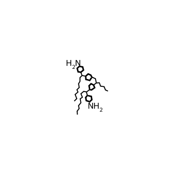 CCCCCCCCCC(c1ccc(N)cc1)c1ccc(CC(CCCCC)c2ccc(C(CCCCCCCCC)c3ccc(N)cc3)cc2)cc1